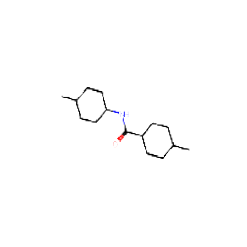 CC1CCC(NC(=O)C2CCC(C)CC2)CC1